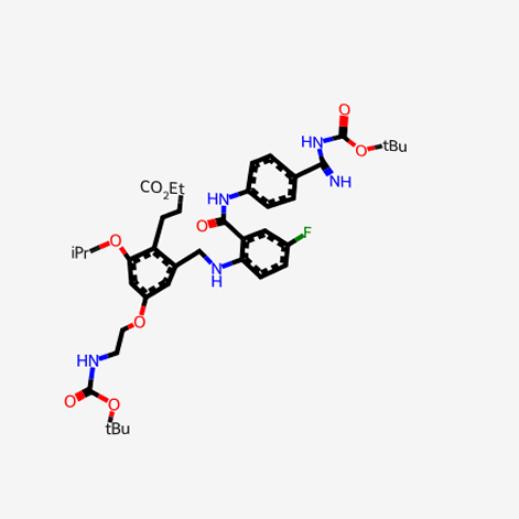 CCOC(=O)CCc1c(CNc2ccc(F)cc2C(=O)Nc2ccc(C(=N)NC(=O)OC(C)(C)C)cc2)cc(OCCNC(=O)OC(C)(C)C)cc1OC(C)C